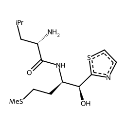 CSCC[C@@H](NC(=O)[C@@H](N)CC(C)C)[C@H](O)c1nccs1